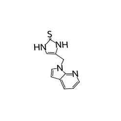 S=c1[nH]cc(Cn2ccc3cccnc32)[nH]1